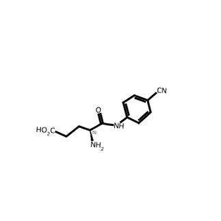 N#Cc1ccc(NC(=O)[C@@H](N)CCC(=O)O)cc1